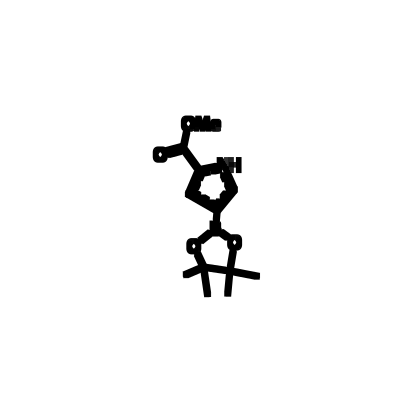 COC(=O)c1cc(B2OC(C)(C)C(C)(C)O2)c[nH]1